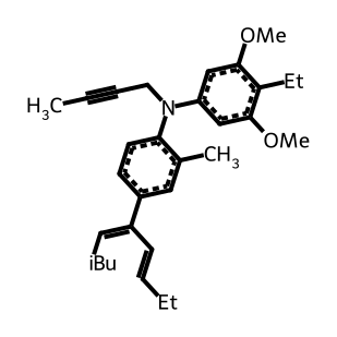 CC#CCN(c1cc(OC)c(CC)c(OC)c1)c1ccc(C(/C=C/CC)=C/C(C)CC)cc1C